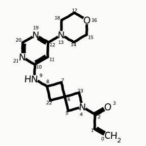 C=CC(=O)N1CC2(CC(Nc3cc(N4CCOCC4)ncn3)C2)C1